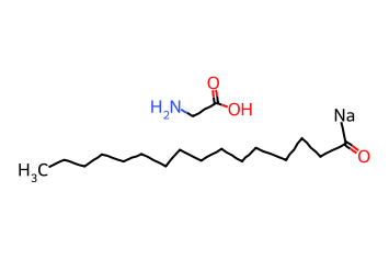 CCCCCCCCCCCCCCC[C](=O)[Na].NCC(=O)O